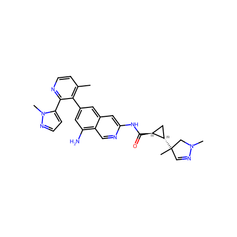 Cc1ccnc(-c2ccnn2C)c1-c1cc(N)c2cnc(NC(=O)[C@H]3C[C@@H]3C3(C)C=NN(C)C3)cc2c1